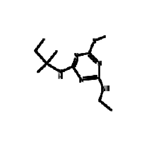 CCNc1nc(NC(C)(C)CC)nc(SC)n1